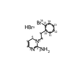 Br.NC1=NC=CCN1CCc1ccccc1Br